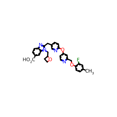 Cc1ccc(OCc2cc(Oc3ccc(Cc4nc5ccc(C(=O)O)cc5n4CC4CCO4)cn3)ccn2)c(F)c1